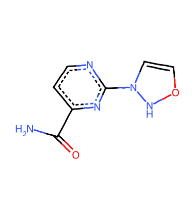 NC(=O)c1ccnc(N2C=CON2)n1